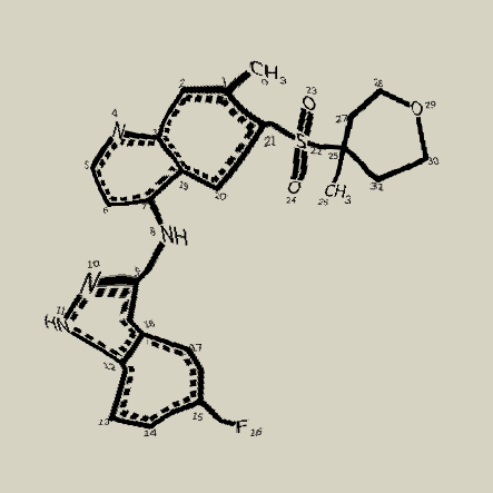 Cc1cc2nccc(Nc3n[nH]c4ccc(F)cc34)c2cc1S(=O)(=O)C1(C)CCOCC1